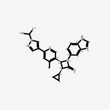 Cc1cc(-c2cnn(C(F)F)c2)ncc1[C@@H]1[C@H](C2CC2)C(=O)N1c1ccc2[nH]cnc2c1